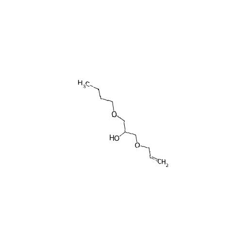 C=CCOCC(O)COCCCC